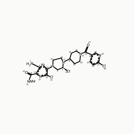 CC[C@H]1CN(c2nc(N)c(C(=O)NC)nc2Cl)CCN1C1CCN(C(=O)c2ccc(Cl)nc2)CC1